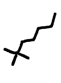 CCCCC[P](C)(C)C